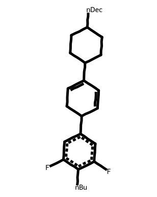 CCCCCCCCCCC1CCC(C2=CCC(c3cc(F)c(CCCC)c(F)c3)C=C2)CC1